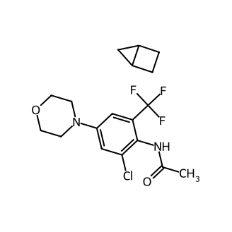 C1CC2CC12.CC(=O)Nc1c(Cl)cc(N2CCOCC2)cc1C(F)(F)F